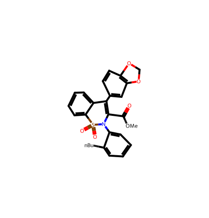 CCCCc1ccccc1N1C(C(=O)OC)=C(c2ccc3c(c2)OCO3)c2ccccc2S1(=O)=O